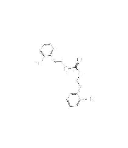 N#Cc1ccccc1CCOC(=O)OCCc1ccccc1C#N